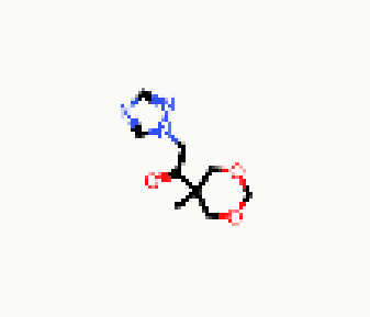 CC1(C(=O)Cn2cncn2)COCOC1